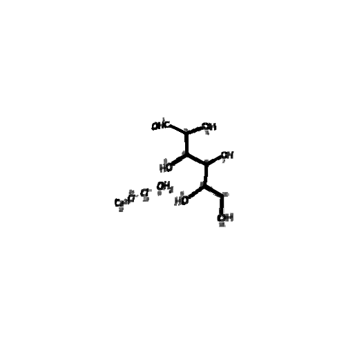 O.O=CC(O)C(O)C(O)C(O)CO.[Ca+2].[Cl-].[Cl-]